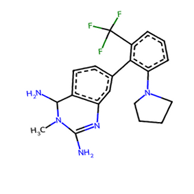 CN1C(N)=Nc2cc(-c3c(N4CCCC4)cccc3C(F)(F)F)ccc2C1N